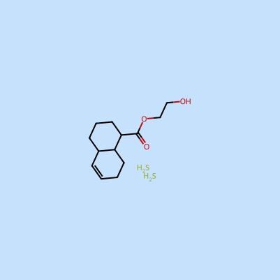 O=C(OCCO)C1CCCC2C=CCCC21.S.S